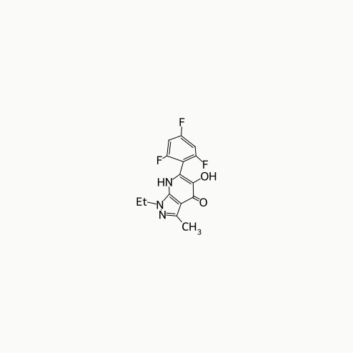 CCn1nc(C)c2c(=O)c(O)c(-c3c(F)cc(F)cc3F)[nH]c21